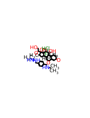 CNNCc1ccc(C(=O)NC(C)C)cc1.C[C@@H]1C[C@H]2[C@@H]3CCC4=CC(=O)C=C[C@]4(C)[C@@]3(F)[C@@H](O)C[C@]2(C)[C@@]1(O)C(=O)CO.Cl